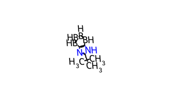 CC(C)(C)c1nc2c([nH]1)BBBB2